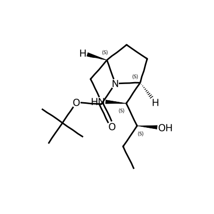 CC[C@H](O)[C@H]1NC[C@@H]2CC[C@@H]1N2C(=O)OC(C)(C)C